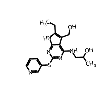 CCc1[nH]c2nc(Sc3cccnc3)nc(NCC(C)O)c2c1CO